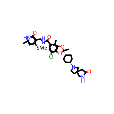 CSc1cc(C)[nH]c(=O)c1CNC(=O)c1cc(Cl)c2c(c1C)OC(C)([C@H]1CC[C@@H](N3CCC4(CNC(=O)C4)C3)CC1)O2